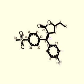 CCC1C/C(=C(\c2ccc(F)cc2)c2ccc(S(C)(=O)=O)cc2)C(=O)O1